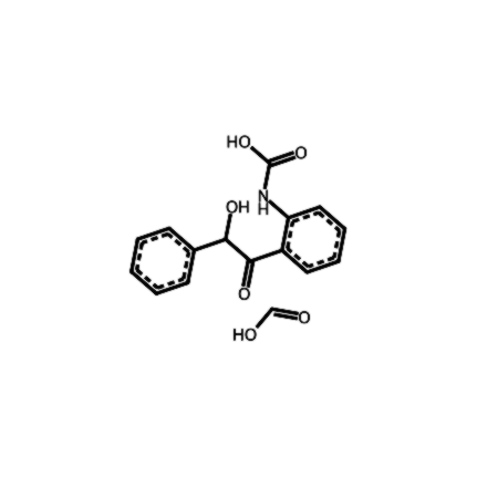 O=C(O)Nc1ccccc1C(=O)C(O)c1ccccc1.O=CO